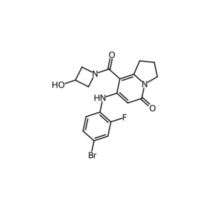 O=C(c1c(Nc2ccc(Br)cc2F)cc(=O)n2c1CCC2)N1CC(O)C1